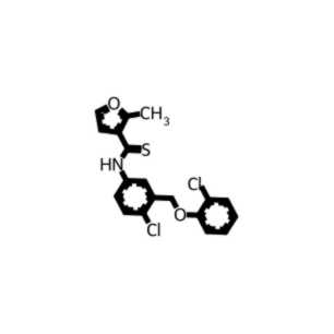 Cc1occc1C(=S)Nc1ccc(Cl)c(COc2ccccc2Cl)c1